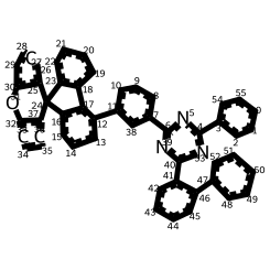 c1ccc(-c2nc(-c3cccc(-c4cccc5c4-c4ccccc4C54c5ccccc5Oc5ccccc54)c3)nc(-c3ccccc3-c3ccccc3)n2)cc1